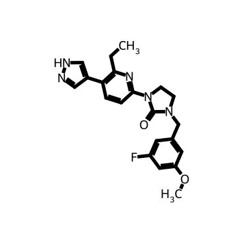 CCc1nc(N2CCN(Cc3cc(F)cc(OC)c3)C2=O)ccc1-c1cn[nH]c1